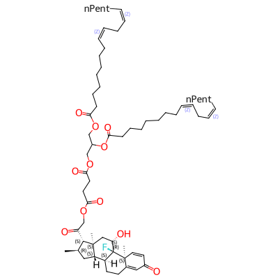 CCCCC/C=C\C/C=C\CCCCCCCC(=O)OCC(COC(=O)CCC(=O)OCC(=O)[C@H]1[C@H](C)C[C@H]2[C@@H]3CCC4=CC(=O)C=C[C@]4(C)[C@@]3(F)[C@@H](O)C[C@@]21C)OC(=O)CCCCCCC/C=C\C/C=C\CCCCC